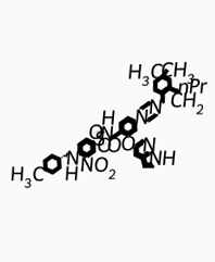 C=C(CCC)C1=C(CN2CCN(c3ccc(C(=O)NS(=O)(=O)c4ccc(NC[C@H]5CC[C@@H](C)CC5)c([N+](=O)[O-])c4)c(Oc4cnc5[nH]ccc5c4)c3)CC2)CCC(C)(C)C1